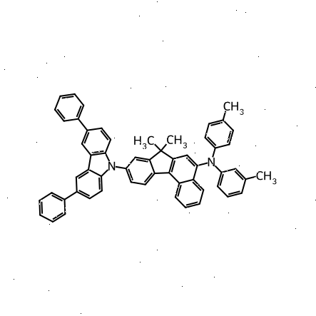 Cc1ccc(N(c2cccc(C)c2)c2cc3c(c4ccccc24)-c2ccc(-n4c5ccc(-c6ccccc6)cc5c5cc(-c6ccccc6)ccc54)cc2C3(C)C)cc1